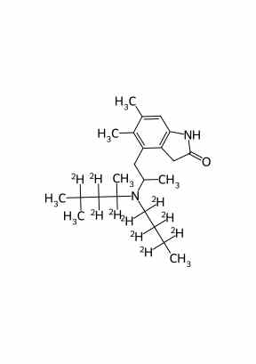 [2H]C([2H])(C)C([2H])([2H])C([2H])([2H])N(C(C)Cc1c(C)c(C)cc2c1CC(=O)N2)C([2H])(C)C([2H])([2H])C([2H])(C)C